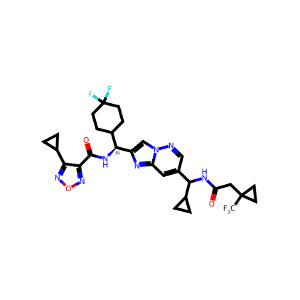 O=C(CC1(C(F)(F)F)CC1)NC(c1cnn2cc([C@@H](NC(=O)c3nonc3C3CC3)C3CCC(F)(F)CC3)nc2c1)C1CC1